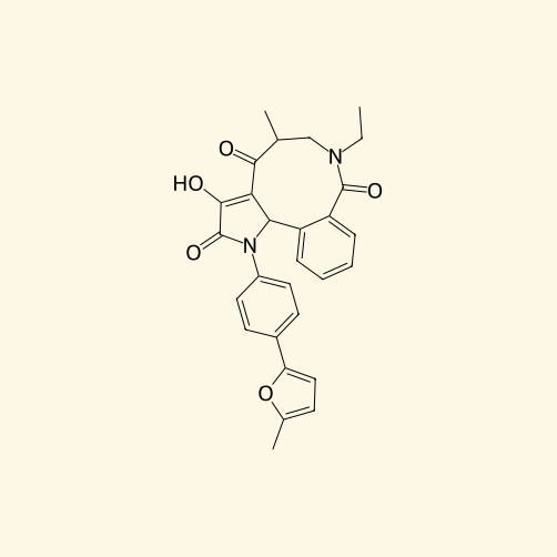 CCN1CC(C)C(=O)C2=C(O)C(=O)N(c3ccc(-c4ccc(C)o4)cc3)C2c2ccccc2C1=O